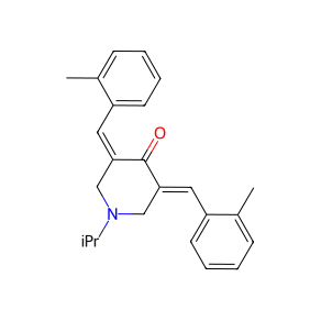 Cc1ccccc1C=C1CN(C(C)C)CC(=Cc2ccccc2C)C1=O